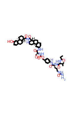 CCC(=O)N[C@H](C(=O)N[C@@H](CCCNC(N)=O)C(=O)Nc1ccc(COC(=O)N[C@@H](CO)C(=O)Nc2ccc3c(c2)[C@@]2(C)CCC[C@](C)(C(=O)NC(=O)[C@@]4(C)CCC[C@]5(C)c6cc(O)ccc6CC[C@@H]45)[C@@H]2CC3)cc1)C(C)C